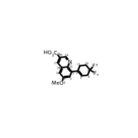 COc1cc(C2=CCC(F)(F)CC2)c2ncc(C(=O)O)cc2c1